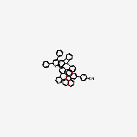 N#Cc1ccc(-c2ccc3c(c2)c2ccccc2n3-c2c(-c3ccccc3-n3c4ccccc4c4ccccc43)cc(-c3nc(-c4ccccc4)cc(-c4ccccc4)n3)cc2-c2ccccc2-n2c3ccccc3c3ccccc32)cc1